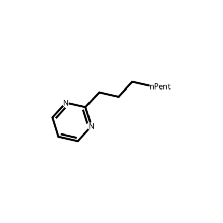 CCCCCCCCc1ncccn1